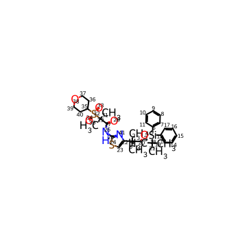 CC(C)(CO[Si](c1ccccc1)(c1ccccc1)C(C)(C)C)c1csc(NC(=O)C(C)(C)S(=O)(=O)C2CCOCC2)n1